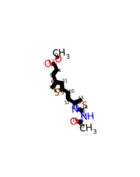 COC(=O)/C=C/c1csc(C=Cc2csc(NC(C)=O)n2)c1